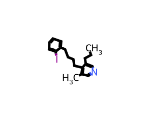 CCCc1cncc(C)c1CCCCc1ccccc1I